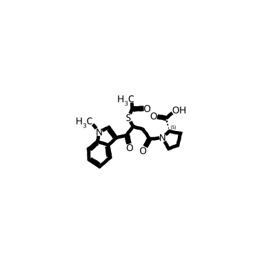 CC(=O)SC(CC(=O)N1CCC[C@H]1C(=O)O)C(=O)c1cn(C)c2ccccc12